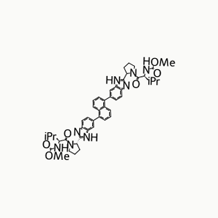 COC(=O)N[C@H](C(=O)N1CCCC1c1nc2ccc(-c3cccc4c(-c5ccc6nc([C@@H]7CCCN7C(=O)[C@@H](NC(=O)OC)C(C)C)[nH]c6c5)cccc34)cc2[nH]1)C(C)C